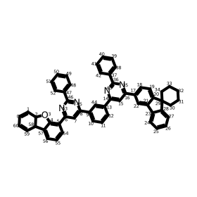 C1=CC2Oc3c(-c4cc(-c5cccc(-c6cc(-c7ccc8c(c7)-c7ccccc7C87CCCCC7)nc(-c7ccccc7)n6)c5)nc(-c5ccccc5)n4)cccc3C2C=C1